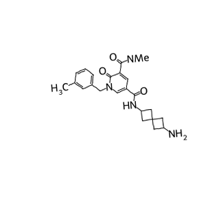 CNC(=O)c1cc(C(=O)NC2CC3(CC(N)C3)C2)cn(Cc2cccc(C)c2)c1=O